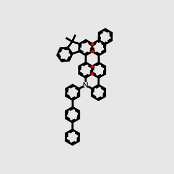 CC1(C)c2ccccc2-c2c(-c3ccc(N(c4cccc(-c5ccc(-c6ccccc6)cc5)c4)c4ccccc4-c4ccc(-c5ccc6ccccc6c5)cc4)cc3)cccc21